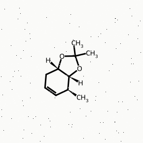 C[C@H]1C=CC[C@@H]2OC(C)(C)O[C@@H]21